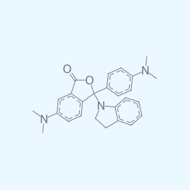 CN(C)c1ccc(C2(N3CCc4ccccc43)OC(=O)c3cc(N(C)C)ccc32)cc1